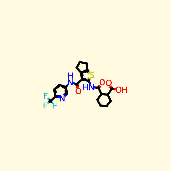 O=C(Nc1ccc(C(F)(F)F)nc1)c1c(NC(=O)C2CCCCC2C(=O)O)sc2c1CCC2